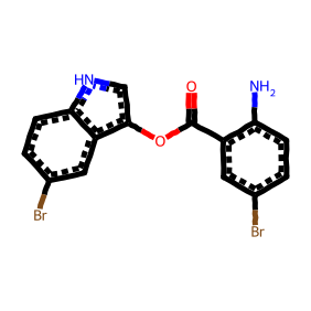 Nc1ccc(Br)cc1C(=O)Oc1c[nH]c2ccc(Br)cc12